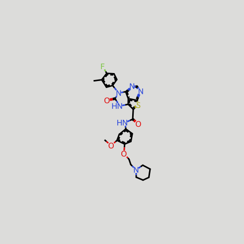 COc1cc(NC(=O)c2sc3ncnc4c3c2NC(=O)N4c2ccc(F)c(C)c2)ccc1OCCN1CCCCC1